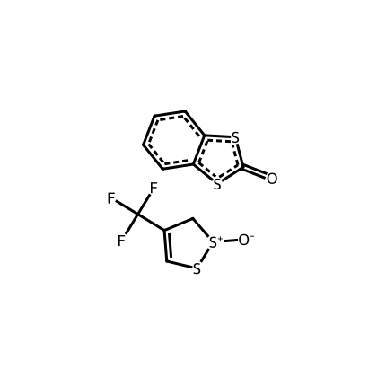 O=c1sc2ccccc2s1.[O-][S+]1CC(C(F)(F)F)=CS1